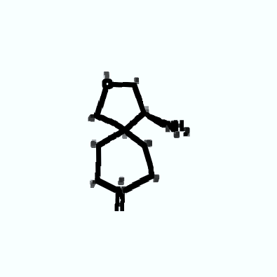 N[C@@H]1COCC12CCNCC2